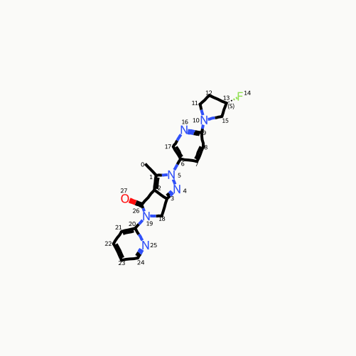 Cc1c2c(nn1-c1ccc(N3CC[C@H](F)C3)nc1)CN(c1ccccn1)C2=O